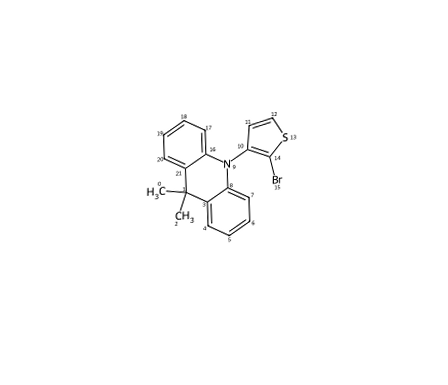 CC1(C)c2ccccc2N(c2ccsc2Br)c2ccccc21